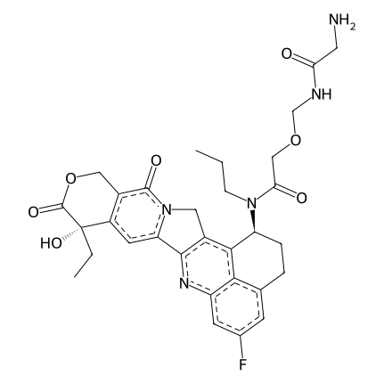 CCCN(C(=O)COCNC(=O)CN)[C@H]1CCc2cc(F)cc3nc4c(c1c23)Cn1c-4cc2c(c1=O)COC(=O)[C@]2(O)CC